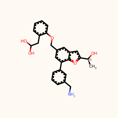 C[C@H](O)c1cc2cc(COc3ccccc3CC(O)O)cc(-c3cccc(CN)c3)c2o1